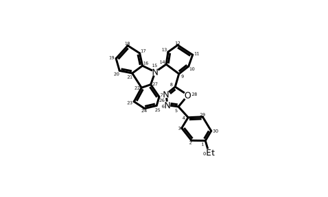 CCc1ccc(-c2nnc(-c3ccccc3-n3c4ccccc4c4ccccc43)o2)cc1